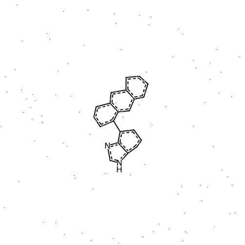 c1ccc2cc3c(-c4cccc5[nH]cnc45)cccc3cc2c1